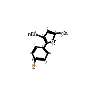 CCCC[C]1=CC(CCCC)=[C](c2ccc(Br)cc2)[Zr]1